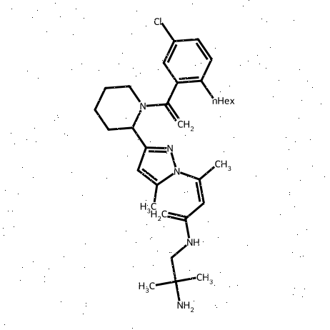 C=C(/C=C(/C)n1nc(C2CCCCN2C(=C)c2cc(Cl)ccc2CCCCCC)cc1C)NCC(C)(C)N